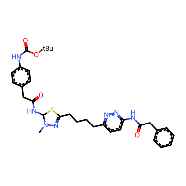 CN1N=C(CCCCc2ccc(NC(=O)Cc3ccccc3)nn2)SC1NC(=O)Cc1ccc(NC(=O)OC(C)(C)C)cc1